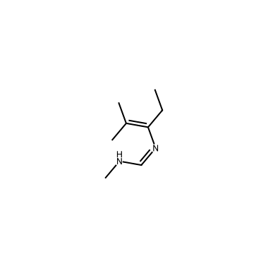 CCC(/N=C\NC)=C(C)C